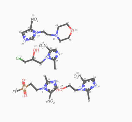 CCS(=O)(=O)CCn1c([N+](=O)[O-])cnc1C.Cc1ncc([N+](=O)[O-])n1CC(O)CCl.Cc1ncc([N+](=O)[O-])n1CCO.O=[N+]([O-])c1cncn1CCN1CCOCC1